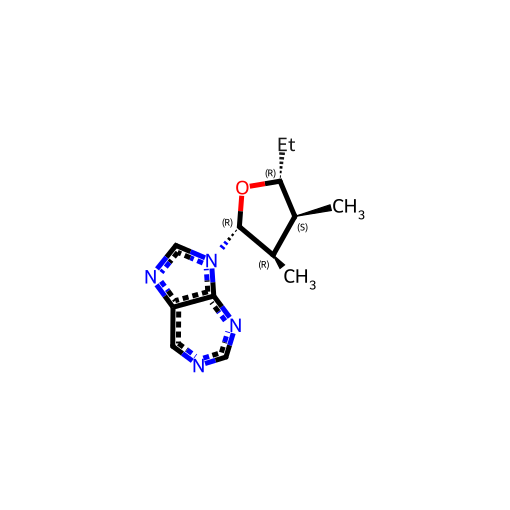 CC[C@H]1O[C@@H](n2cnc3cncnc32)[C@H](C)[C@@H]1C